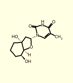 Cc1cn([C@H]2C[C@]3(O)CCC[C@H](O)[C@@H]3O2)c(=O)[nH]c1=O